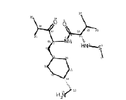 CSN[C@H](C(=O)N[C@@H](C[C@H]1CC[C@H](CN)CC1)C(=O)C(C)C)C(C)C